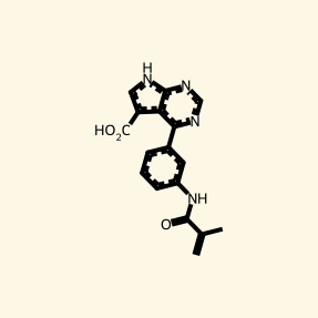 C=C(C)C(=O)Nc1cccc(-c2ncnc3[nH]cc(C(=O)O)c23)c1